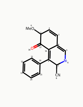 COC1C=CC2=C[N]C(C#N)C(c3ccccc3)=C2C1=O